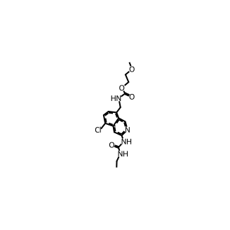 CCNC(=O)Nc1cc2c(Cl)ccc(CNC(=O)OCCOC)c2cn1